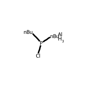 CCCCP(Cl)CCCC.[AlH3]